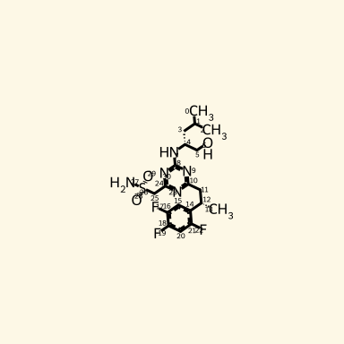 CC(C)C[C@H](CO)Nc1nc(C[C@H](C)c2cc(F)c(F)cc2F)nc(CS(N)(=O)=O)n1